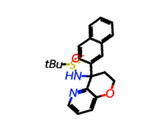 CC(C)(C)[S+]([O-])NC1(c2ccc3ccccc3c2)CCOc2cccnc21